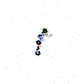 O=C(O)N(Cc1c(F)ccc(F)c1Cl)c1ccnc(Nc2cccc(OCCCN3CCCCC3)c2)n1